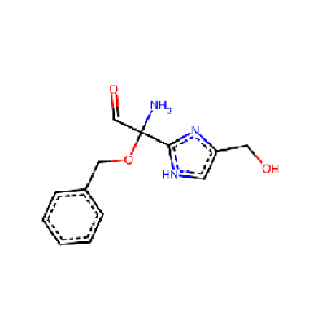 NC(C=O)(OCc1ccccc1)c1nc(CO)c[nH]1